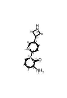 Nc1cccn(-c2ccc(C3CNC3)cn2)c1=O